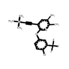 Cc1nc(Oc2ccc(Cl)c(C(F)(F)F)c2)c(C#C[Si](C)(C)C)cc1N